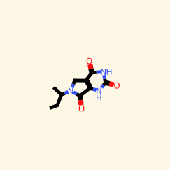 CCC(C)N1Cc2c([nH]c(=O)[nH]c2=O)C1=O